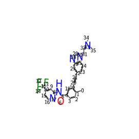 Cc1ccc(C(=O)Nc2cc(C(F)(F)F)ccn2)cc1C#Cc1ccc2c(c1)ncn2CCN(C)C